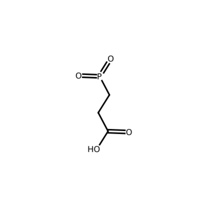 O=C(O)CCP(=O)=O